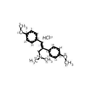 COc1ccc(/C=C(\CN(C)C)c2ccc(OC)cc2)cc1.Cl